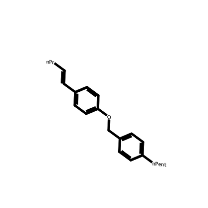 CCC/C=C/c1ccc(OCc2ccc(CCCCC)cc2)cc1